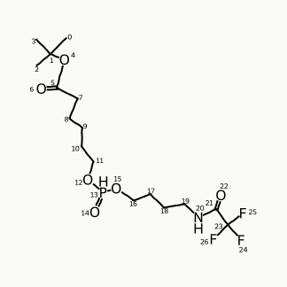 CC(C)(C)OC(=O)CCCCCO[PH](=O)OCCCCNC(=O)C(F)(F)F